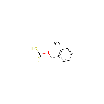 S=C(S)OCc1ccccc1.[Mo]